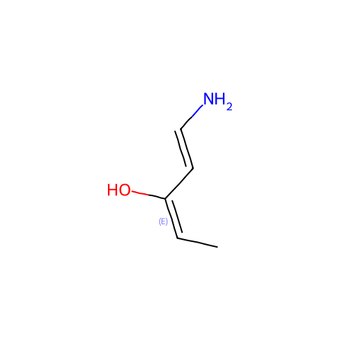 C/C=C(/O)C=CN